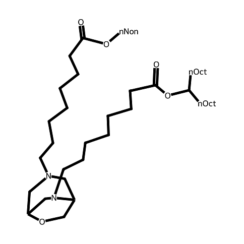 CCCCCCCCCOC(=O)CCCCCCCN1CC2CN(CCCCCCCC(=O)OC(CCCCCCCC)CCCCCCCC)C(CO2)C1